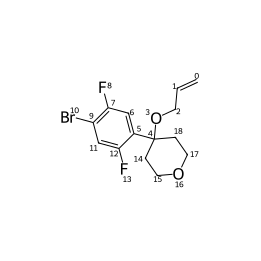 C=CCOC1(c2cc(F)c(Br)cc2F)CCOCC1